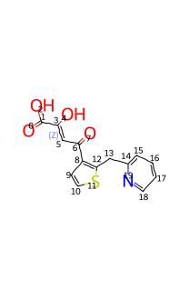 O=C(O)/C(O)=C/C(=O)c1ccsc1Cc1ccccn1